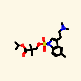 Cc1ccc2c(c1)c(CCN(C)C)cn2S(=O)(=O)OCC(C)(C)C(=O)OC(C)C